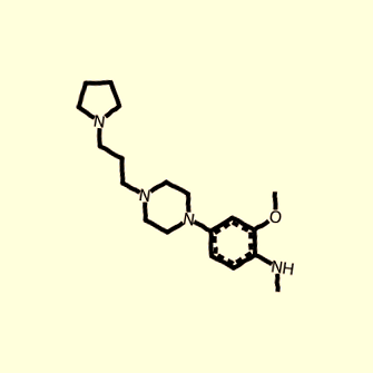 CNc1ccc(N2CCN(CCCN3CCCC3)CC2)cc1OC